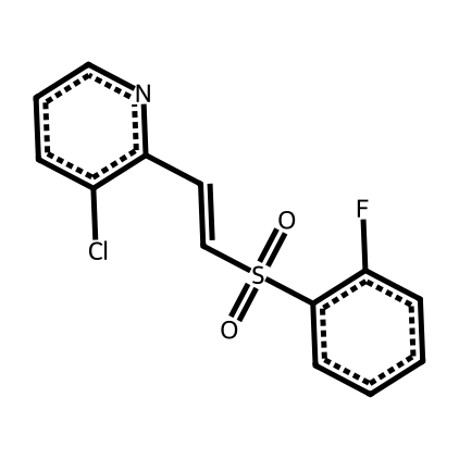 O=S(=O)(C=Cc1ncccc1Cl)c1ccccc1F